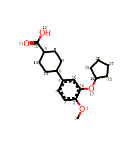 COc1ccc(C2CCC(C(=O)O)CC2)cc1OC1CCCC1